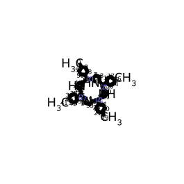 Cc1ccc(/C2=C3\C=CC(N3)/C(c3ccc(C)cc3)=c3/cc/c([nH]3)=C(\c3ccc(C)cc3)C3C=C/C(=C(\c4ccc(C)cc4)c4ccc2[nH]4)N3)cc1